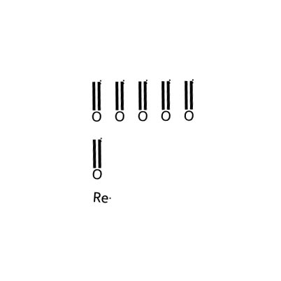 [C]=O.[C]=O.[C]=O.[C]=O.[C]=O.[C]=O.[Re]